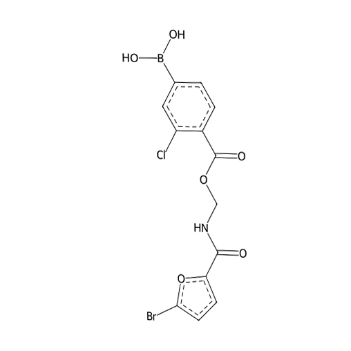 O=C(NCOC(=O)c1ccc(B(O)O)cc1Cl)c1ccc(Br)o1